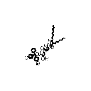 CCCCCCCCCC(CCCCCCC)C(=O)Nc1ccn([C@H]2C[C@H](O)[C@@H](COC(c3ccccc3)(c3ccc(OC)cc3)c3ccc(OC)cc3)O2)c(=O)n1